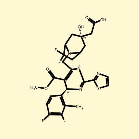 COC(=O)C1=C(CN2C3CC(F)(F)C2C[C@@](O)(CC(=O)O)C3)NC(c2nccs2)=N[C@H]1c1ccc(F)c(F)c1C